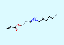 C=CC(=O)OCCC=NCCCCCC